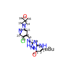 CCCCc1cc(=O)n2nc(NCc3cc(N4CC5(COC5)C4)ncc3Cl)nc2[nH]1